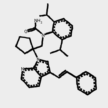 CC(C)c1cccc(C(C)C)c1N(CC1(n2cc(C=Cc3ccccc3)c3cccnc32)CCCC1)C(N)=O